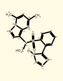 CCn1nnnc1-c1ccccc1S(=O)(=O)N(C(=O)O)c1cnn2c(C)cc(C)nc12